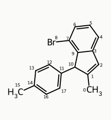 CC1=Cc2cccc(Br)c2C1c1ccc(C)cc1